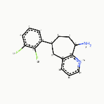 NC1CCC(c2cccc(F)c2F)Cc2cccnc21